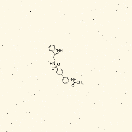 CC(=O)Nc1cccc(-c2ccc(S(=O)(=O)NCCc3c[nH]c4ccccc34)cc2)c1